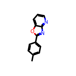 Cc1ccc(-c2nc3ncccc3o2)cc1